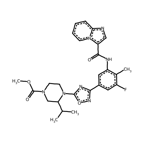 COC(=O)N1CCN(c2nc(-c3cc(F)c(C)c(NC(=O)c4cnc5ccccn45)c3)no2)C(C(C)C)C1